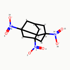 O=[N+]([O-])C12CC3CC([N+](=O)[O-])(C1)CC([N+](=O)[O-])(C3)C2